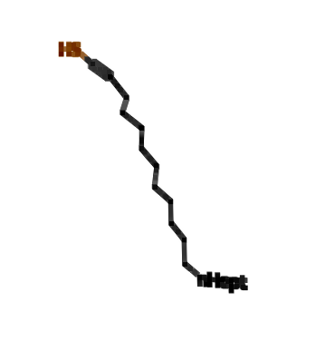 CCCCCCCCCCCCCCCCCC#CS